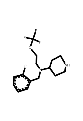 FC(F)(F)OCCN(Cc1ccccc1Cl)C1CCNCC1